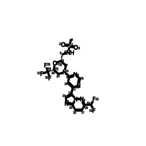 CS(=O)(=O)NC[C@@H]1CN(c2cc(-c3cnc4ccc(C(F)F)nn34)ncn2)C[C@H](C(F)(F)F)O1